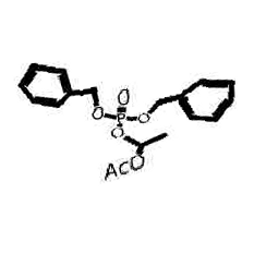 CC(=O)OC(C)OP(=O)(OCc1ccccc1)OCc1ccccc1